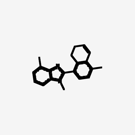 Cc1ccc(-c2nc3c(C)cccc3n2C)c2c1C=CCC2